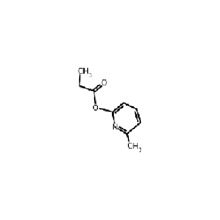 CCC(=O)Oc1cccc(C)n1